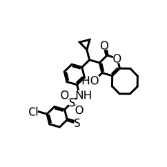 O=c1oc2c(c(O)c1C(c1cccc(NS(=O)(=O)C3=CC(Cl)=CCC3=S)c1)C1CC1)CCCCCC2